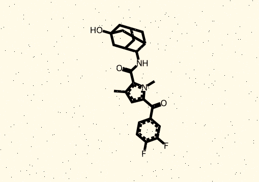 Cc1cc(C(=O)c2ccc(F)c(F)c2)n(C)c1C(=O)NC1C2CC3CC1CC(O)(C3)C2